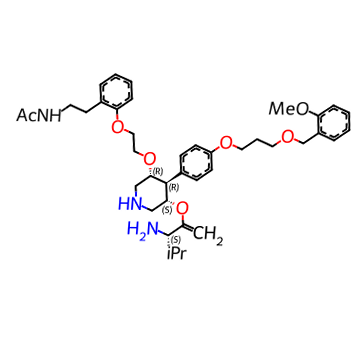 C=C(O[C@@H]1CNC[C@H](OCCOc2ccccc2CCNC(C)=O)[C@H]1c1ccc(OCCCOCc2ccccc2OC)cc1)[C@@H](N)C(C)C